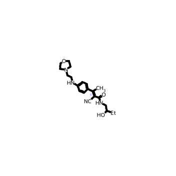 CCC(O)CNC(=O)/C(C#N)=C(\C)c1ccc(NCCN2CCOCC2)cc1